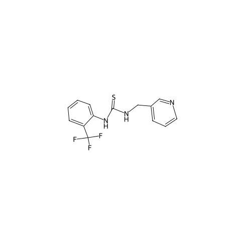 FC(F)(F)c1ccccc1NC(=S)NCc1cccnc1